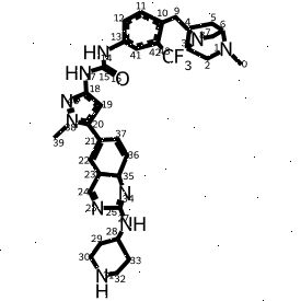 CN1CC2CCC1CN2Cc1ccc(NC(=O)Nc2cc(C3=CC4C=NC(NC5CCNCC5)=NC4C=C3)n(C)n2)cc1C(F)(F)F